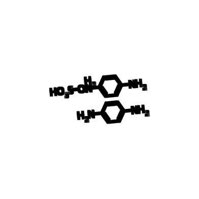 Nc1ccc(N)cc1.Nc1ccc(N)cc1.O=S(=O)(O)O